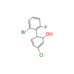 OC1C=C(Cl)C=CC1c1c(F)cccc1Br